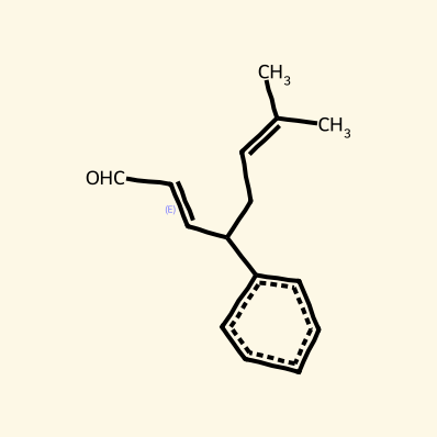 CC(C)=CCC(/C=C/C=O)c1ccccc1